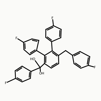 OC(O)(c1ccc(F)cc1)c1ccc(Cc2ccc(F)cc2)c(-c2ccc(F)cc2)c1-c1ccc(F)cc1